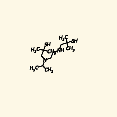 CC(C)N(CCNCC(C)(C)S)CC(C)(C)S